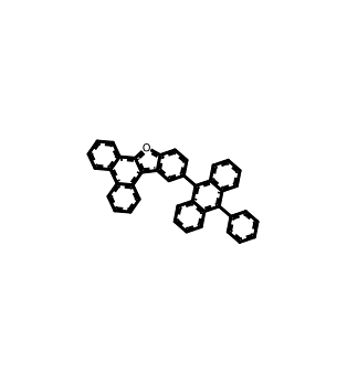 c1ccc(-c2c3ccccc3c(-c3ccc4oc5c6ccccc6c6ccccc6c5c4c3)c3ccccc23)cc1